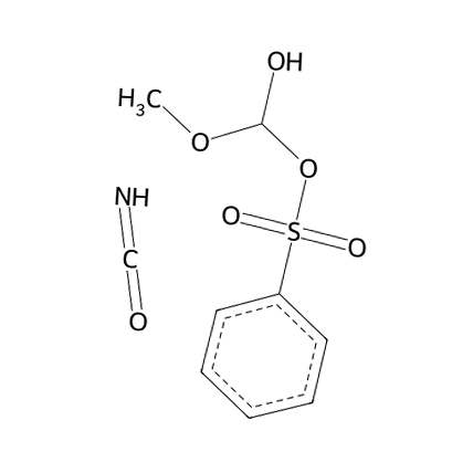 COC(O)OS(=O)(=O)c1ccccc1.N=C=O